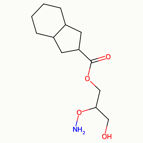 NOC(CO)COC(=O)C1CC2CCCCC2C1